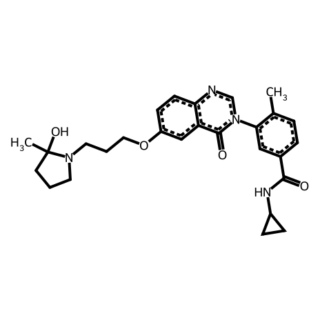 Cc1ccc(C(=O)NC2CC2)cc1-n1cnc2ccc(OCCCN3CCCC3(C)O)cc2c1=O